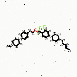 C=C[C@H]1CC[C@H](c2ccc(CCOC(F)(F)c3ccc([C@H]4CC[C@H](CC/C=C/C)CC4)cc3F)cc2)CC1